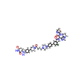 O=C1CCC(Nc2ccc(C3CCN(C(=O)CCCN4CCN(c5ccc(-c6cc(F)c7c(c6)C(=O)N(C(C(=O)Nc6nccs6)c6ncn8c6CCC8)C7)cc5)CC4)CC3)cc2)C(=O)N1